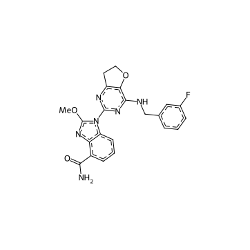 COc1nc2c(C(N)=O)cccc2n1-c1nc2c(c(NCc3cccc(F)c3)n1)OCC2